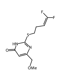 COCc1cc(=O)[nH]c(SCCC=C(F)F)n1